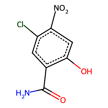 NC(=O)c1cc(Cl)c([N+](=O)[O-])cc1O